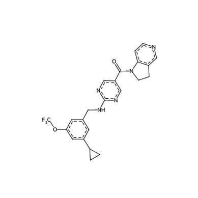 O=C(c1cnc(NCc2cc(OC(F)(F)F)cc(C3CC3)c2)nc1)N1CCc2cnccc21